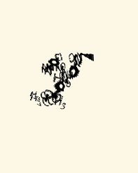 CC(C)(C)OC(=O)c1ccc(NC(=O)[C@H](Cc2ccc(N3CCN(CC4CC4)CC3=O)cc2)NC(=O)C(=O)Nc2cc(Cl)ccc2-n2cnnn2)cc1